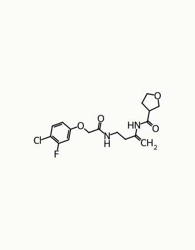 C=C(CCNC(=O)COc1ccc(Cl)c(F)c1)NC(=O)C1CCOC1